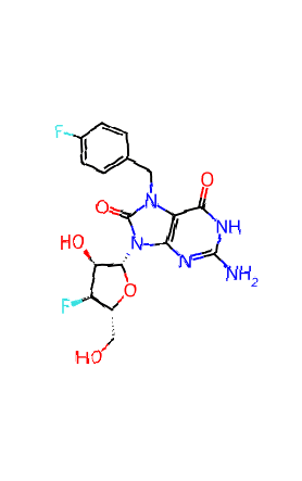 Nc1nc2c(c(=O)[nH]1)n(Cc1ccc(F)cc1)c(=O)n2[C@@H]1O[C@H](CO)[C@@H](F)[C@H]1O